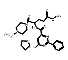 CCOC(=O)N1CCN(C(=O)C(CCC(=O)OC(C)(C)C)NC(=O)c2cc(C[C@@H]3CCCO3)nc(-c3ccccc3)n2)CC1